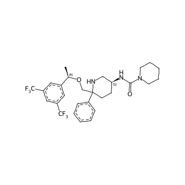 C[C@@H](OCC1(c2ccccc2)CC[C@H](NC(=O)N2CCCCC2)CN1)c1cc(C(F)(F)F)cc(C(F)(F)F)c1